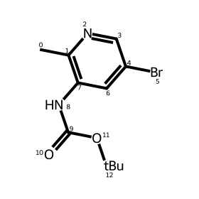 Cc1ncc(Br)cc1NC(=O)OC(C)(C)C